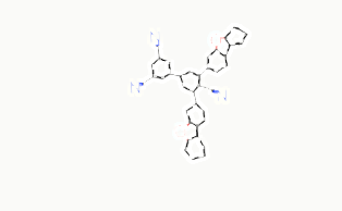 N#Cc1cc(C#N)cc(-c2cc(-c3ccc4c(c3)oc3ccccc34)c(C#N)c(-c3ccc4c(c3)oc3ccccc34)c2)c1